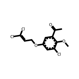 COc1c(Cl)cc(OCC=C(Cl)Cl)cc1C(C)=O